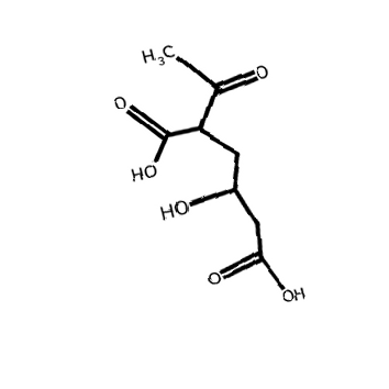 CC(=O)C(CC(O)CC(=O)O)C(=O)O